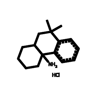 CC1(C)CC2CCCCC2(N)c2ccccc21.Cl